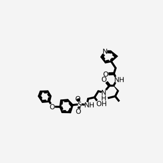 CC(C)C[C@H](NC(=O)Cc1ccncc1)C(=O)NCC(O)CNS(=O)(=O)c1ccc(Oc2ccccc2)cc1